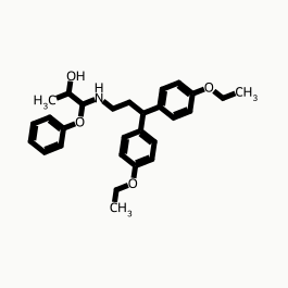 CCOc1ccc(C(CCNC(Oc2ccccc2)C(C)O)c2ccc(OCC)cc2)cc1